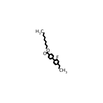 CCCCCCCCCOC(=O)c1ccc(-c2ccc(CCC)cc2F)cc1